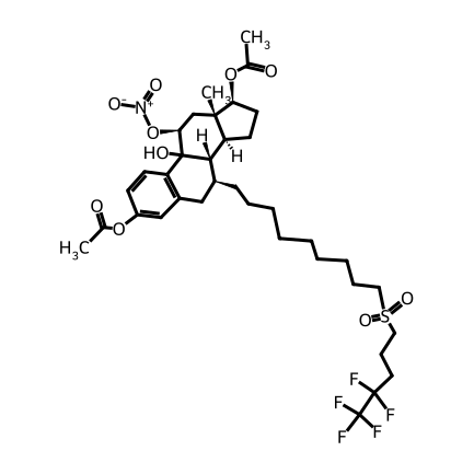 CC(=O)Oc1ccc2c(c1)C[C@H](CCCCCCCCCS(=O)(=O)CCCC(F)(F)C(F)(F)F)[C@H]1[C@@H]3CC[C@H](OC(C)=O)[C@@]3(C)C[C@H](O[N+](=O)[O-])C21O